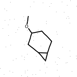 COC1CCC2CC2C1